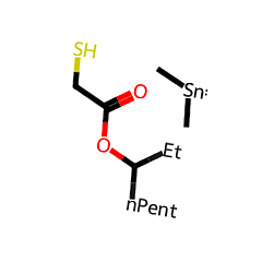 CCCCCC(CC)OC(=O)CS.[CH3][Sn][CH3]